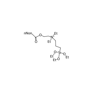 CCCCCCCCCC(=O)OCC[N+](CC)(CC)CCC[Si](OCC)(OCC)OCC